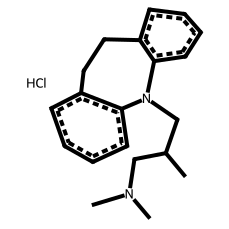 CC(CN(C)C)CN1c2ccccc2CCc2ccccc21.Cl